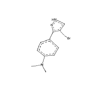 CN(C)c1ccc(-c2n[nH]cc2Br)cc1